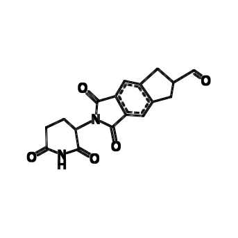 O=CC1Cc2cc3c(cc2C1)C(=O)N(C1CCC(=O)NC1=O)C3=O